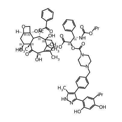 CC(=O)O[C@@]12CO[C@@H]1C[C@H](O)[C@@]1(C)C(=O)[C@H](O)C3=C(C)[C@@H](OC(=O)[C@H](OC(=O)N4CCN(Cc5ccc(-c6c(-c7cc(C(C)C)c(O)cc7O)n[nH]c6C)cc5)CC4)[C@@H](NC(=O)OC(C)C)c4ccccc4)C[C@@](O)([C@@H](OC(=O)c4ccccc4)C12)C3(C)C